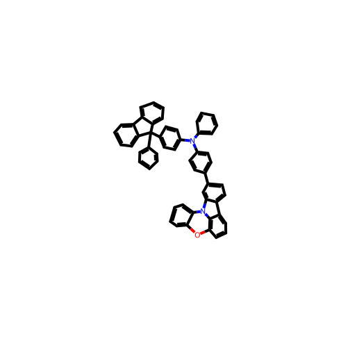 c1ccc(N(c2ccc(-c3ccc4c5cccc6c5n(c4c3)-c3ccccc3O6)cc2)c2ccc(C3(c4ccccc4)c4ccccc4-c4ccccc43)cc2)cc1